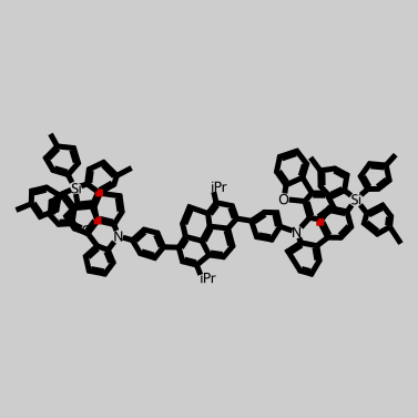 Cc1ccc([Si](c2ccc(C)cc2)(c2ccc(C)cc2)c2ccc(-c3ccccc3N(c3ccc(-c4cc(C(C)C)c5ccc6c(-c7ccc(N(c8ccccc8-c8ccc([Si](c9ccc(C)cc9)(c9ccc(C)cc9)c9ccc(C)cc9)cc8)c8cccc9c8oc8ccccc89)cc7)cc(C(C)C)c7ccc4c5c67)cc3)c3cccc4c3oc3ccccc34)cc2)cc1